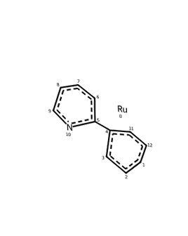 [Ru].c1ccc(-c2ccccn2)cc1